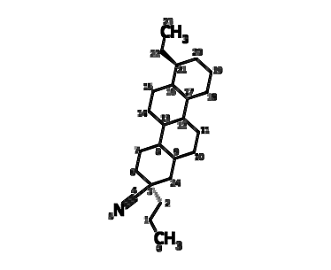 CCC[C@]1(C#N)CCC2C(CCC3C2CCC2C3CCC[C@@H]2CC)C1